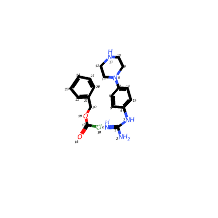 N=C(N)Nc1ccc(N2CCNCC2)cc1.O=C(Cl)OCc1ccccc1